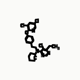 CCc1ncnc(N(CCc2ccc(Oc3ncc(Cl)cc3Cl)cc2)C2CCCCC2)c1Cl